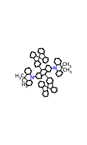 CC1(C)c2ccccc2N(c2ccc3c(-c4ccc5c(c4)C4(c6ccccc6-c6ccccc64)c4ccccc4-5)c4cc(N5c6ccccc6C(C)(C)c6ccccc65)ccc4c(-c4ccc5c(c4)C4(c6ccccc6-c6ccccc64)c4ccccc4-5)c3c2)c2ccccc21